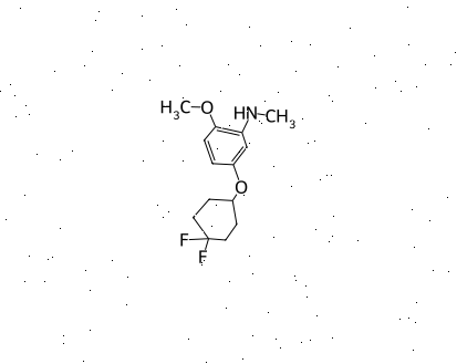 CNc1cc(OC2CCC(F)(F)CC2)ccc1OC